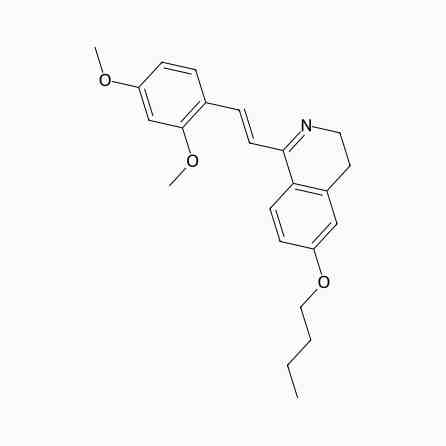 CCCCOc1ccc2c(c1)CCN=C2C=Cc1ccc(OC)cc1OC